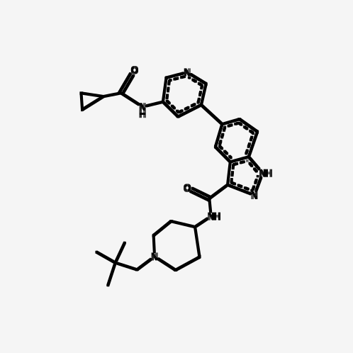 CC(C)(C)CN1CCC(NC(=O)c2n[nH]c3ccc(-c4cncc(NC(=O)C5CC5)c4)cc23)CC1